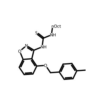 CCCCCCCCNC(=S)Nc1noc2cccc(OCc3ccc(C)cc3)c12